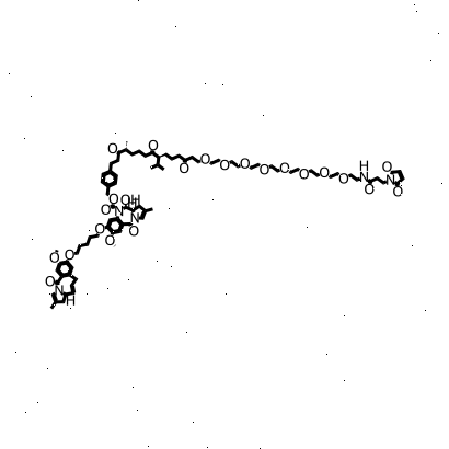 COc1cc2c(cc1OCCCCCOc1cc3c(cc1OC)C(=O)N1C=C(C)C[C@H]1[C@H](O)N3C(=O)OCc1ccc(CCC(=O)[C@H](C)CCCC(=O)[C@@H](CCCC(=O)CCOCCOCCOCCOCCOCCOCCOCCOCCNC(=O)CCN3C(=O)C=CC3=O)C(C)C)cc1)C/C=C/[C@@H]1CC(C)=CN1C2=O